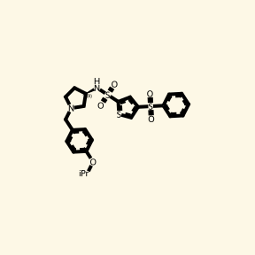 CC(C)Oc1ccc(CN2CC[C@@H](NS(=O)(=O)c3cc(S(=O)(=O)c4ccccc4)cs3)C2)cc1